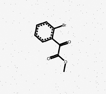 COC(=O)C(=O)c1ccccc1Br